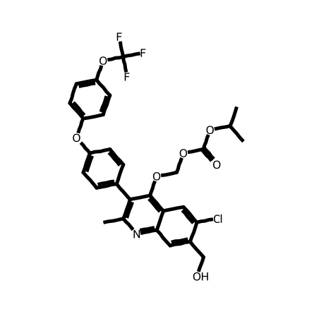 Cc1nc2cc(CO)c(Cl)cc2c(OCOC(=O)OC(C)C)c1-c1ccc(Oc2ccc(OC(F)(F)F)cc2)cc1